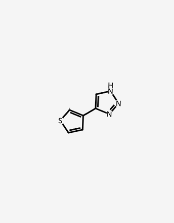 [c]1sccc1-c1c[nH]nn1